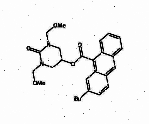 CCC(C)c1ccc2cc3ccccc3c(C(=O)OC3CN(COC)C(=O)N(COC)C3)c2c1